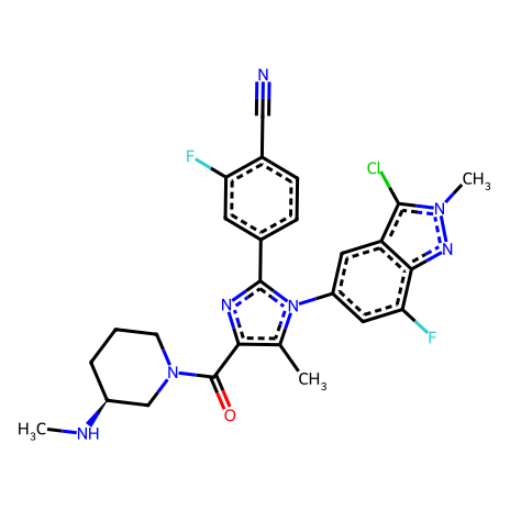 CN[C@H]1CCCN(C(=O)c2nc(-c3ccc(C#N)c(F)c3)n(-c3cc(F)c4nn(C)c(Cl)c4c3)c2C)C1